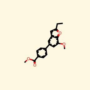 CCc1cc2cc(-c3ccc(C(=O)OC)cc3)cc(OC)c2o1